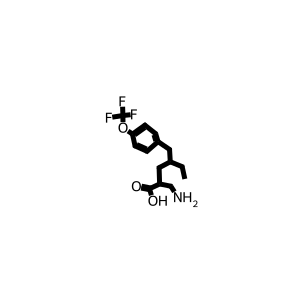 CCC(Cc1ccc(OC(F)(F)F)cc1)CC(CN)C(=O)O